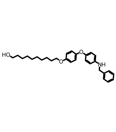 OCCCCCCCCCCOc1ccc(Oc2ccc(NCc3ccccc3)cc2)cc1